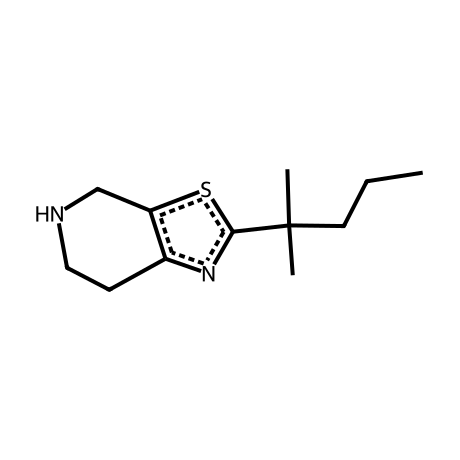 CCCC(C)(C)c1nc2c(s1)CNCC2